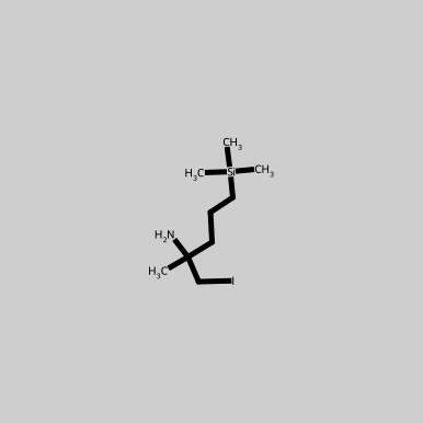 CC(N)(CI)CCC[Si](C)(C)C